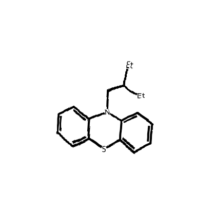 CCC(CC)CN1c2ccccc2Sc2ccccc21